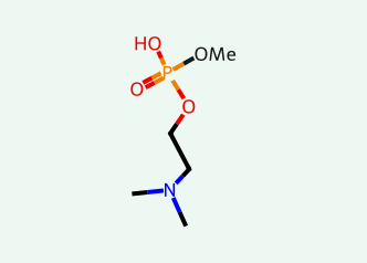 COP(=O)(O)OCCN(C)C